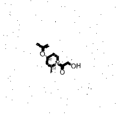 CC(C)O[C@@H]1CCN(C(=O)CO)[C@@H](C)C1